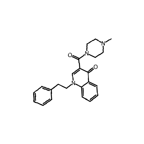 CN1CCN(C(=O)c2cn(CCc3ccccc3)c3ccccc3c2=O)CC1